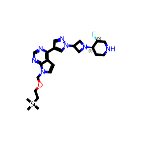 C[Si](C)(C)CCOCn1ccc2c(-c3cnn([C]4CN([C@@H]5CCNC[C@@H]5F)C4)c3)ncnc21